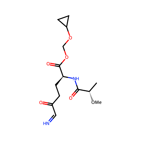 CO[C@@H](C)C(=O)N[C@@H](CCC(=O)C=N)C(=O)OCOC1CC1